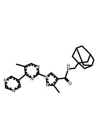 Cc1cnc(-n2cc(C(=O)NCC34CC5CC(CC(C5)C3)C4)c(C)n2)nc1-c1cncnc1